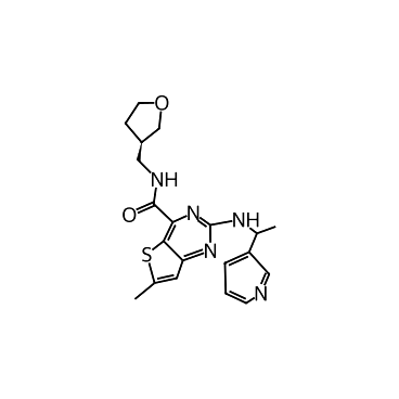 Cc1cc2nc(NC(C)c3cccnc3)nc(C(=O)NC[C@H]3CCOC3)c2s1